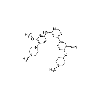 COc1nc(Nc2cc(-c3ccc(OC4CCN(C)CC4)c(C#N)c3)ncn2)ccc1N1CCN(C)CC1